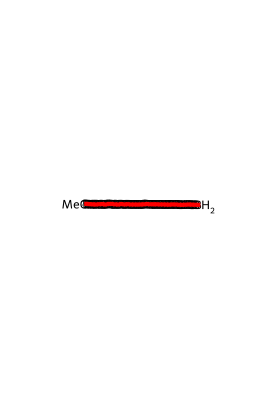 BB=BB=BB=BB=BB=BB=BB=BB=BB=BB=BB=BB=BB=BB=BB=BB=BB=BB=BB=BB=BB=BB=BB=BB=BB=BB=BB=BB=BB=BB=BB=BB=BB=BB=BB=BOC